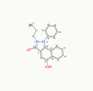 CC(C)CCn1c(=O)c2cc(O)c3ccccc3c2n1-c1ccccc1